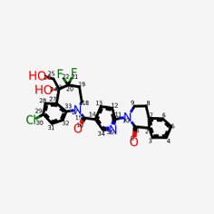 O=C1c2ccccc2CCN1c1ccc(C(=O)N2CCC(F)(F)[C@](O)(CO)c3cc(Cl)ccc32)cn1